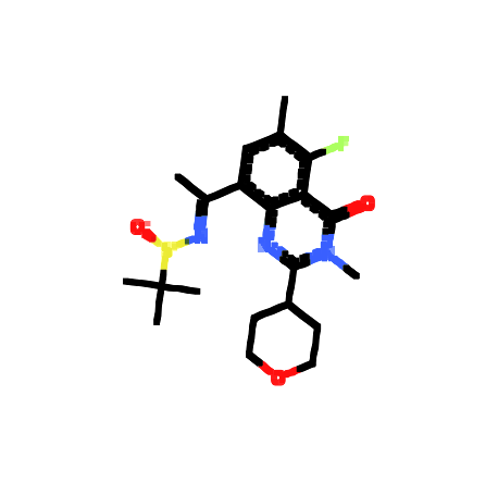 CC(=N[S@+]([O-])C(C)(C)C)c1cc(C)c(F)c2c(=O)n(C)c(C3CCOCC3)nc12